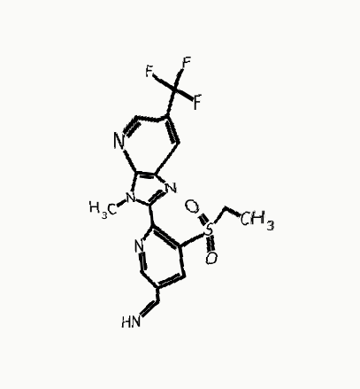 CCS(=O)(=O)c1cc(C=N)cnc1-c1nc2cc(C(F)(F)F)cnc2n1C